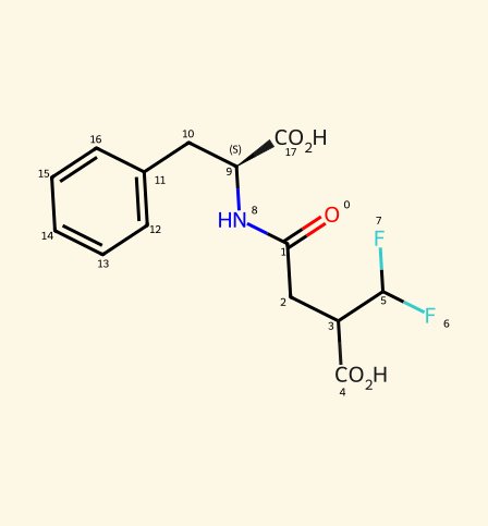 O=C(CC(C(=O)O)C(F)F)N[C@@H](Cc1ccccc1)C(=O)O